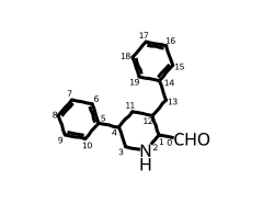 O=CC1NCC(c2ccccc2)CC1Cc1ccccc1